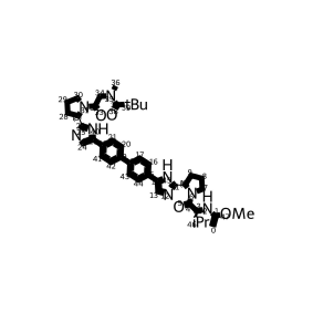 C=C(N[C@H](C(=O)N1CCC[C@H]1c1ncc(-c2ccc(-c3ccc(-c4cnc([C@@H]5CCCN5C(=O)CN(C)C(=O)C(C)(C)C)[nH]4)cc3)cc2)[nH]1)C(C)C)OC